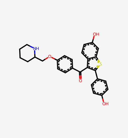 O=C(c1ccc(OCC2CCCCN2)cc1)c1c(-c2ccc(O)cc2)sc2cc(O)ccc12